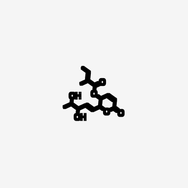 C/C=C(\C)C(=O)OC1C=CC(=O)OC1/C=C/C(O)C(C)O